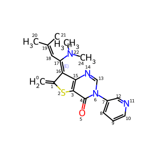 C=c1sc2c(=O)n(-c3cccnc3)cnc2/c1=C(/C=C(C)C)N(C)C